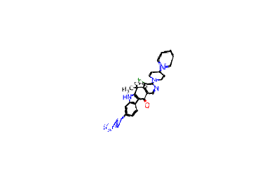 CC1(C)c2[nH]c3cc(N)ccc3c2C(=O)c2cnc(N3CCC(N4CCCCC4)CC3)c(F)c21